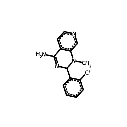 CN1c2cnccc2C(N)=NC1c1ccccc1Cl